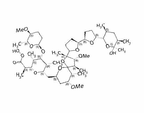 CO[C@H]1CC[C@@H](O[C@H]2[C@@H](C)[C@@H]([C@@H](C)C(=O)OO)O[C@@H](C[C@@H]3C[C@@H](OC)[C@@H](C)C4(O3)O[C@](C)(C3CC[C@@H]([C@H]5CC[C@H](C6O[C@](C)(O)[C@H](C)C[C@@H]6C)O5)O3)[C@H](OC)[C@H]4C)[C@H]2C)O[C@@H]1C